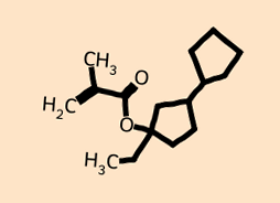 C=C(C)C(=O)OC1(CC)CCC(C2CCCC2)C1